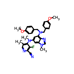 COc1ccc(CN(Cc2ccc(OC)cc2)c2cc(N(C)c3c(C)cnc(C#N)c3F)cc3c2ncn3C)cc1